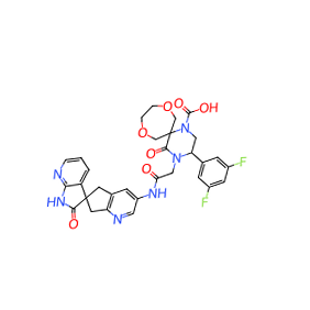 O=C(CN1C(=O)C2(COCCOC2)N(C(=O)O)CC1c1cc(F)cc(F)c1)Nc1cnc2c(c1)CC1(C2)C(=O)Nc2ncccc21